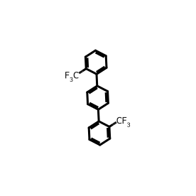 FC(F)(F)c1ccccc1-c1ccc(-c2ccccc2C(F)(F)F)cc1